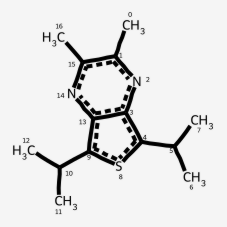 Cc1nc2c(C(C)C)sc(C(C)C)c2nc1C